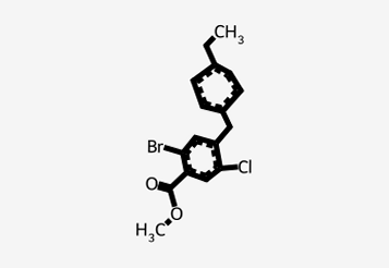 CCc1ccc(Cc2cc(Br)c(C(=O)OC)cc2Cl)cc1